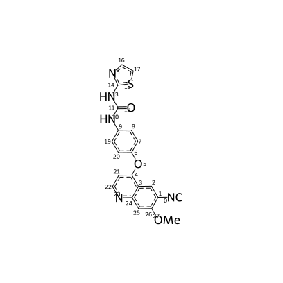 [C-]#[N+]c1cc2c(Oc3ccc(NC(=O)Nc4nccs4)cc3)ccnc2cc1OC